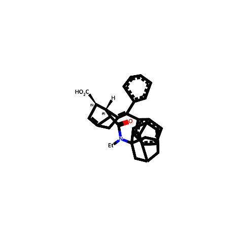 CCN(C(=O)C1C2=C[C@@H](C(=O)O)[C@@H]1C(=C(c1ccccc1)c1ccccc1)C2)C12CC3CC(CC(C3)C1)C2